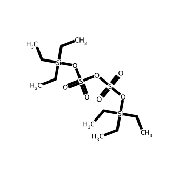 CC[Si](CC)(CC)OS(=O)(=O)OS(=O)(=O)O[Si](CC)(CC)CC